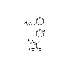 CCc1ccccc1C1=CCC(C[C@H](N)C(=O)O)C=N1